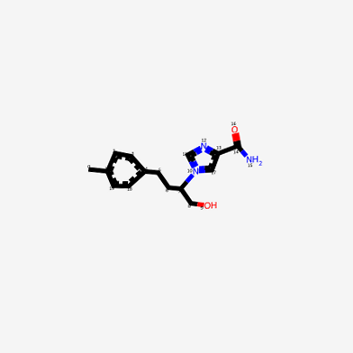 Cc1ccc(CCC(CO)n2cnc(C(N)=O)c2)cc1